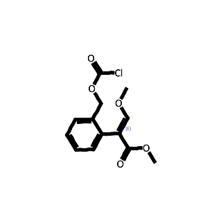 CO/C=C(/C(=O)OC)c1ccccc1COC(=O)Cl